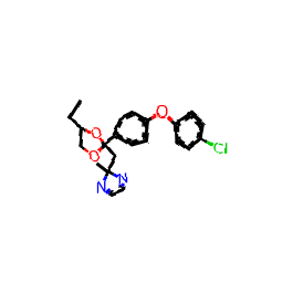 CCC1COC(CC2(C)N=CC=N2)(c2ccc(Oc3ccc(Cl)cc3)cc2)O1